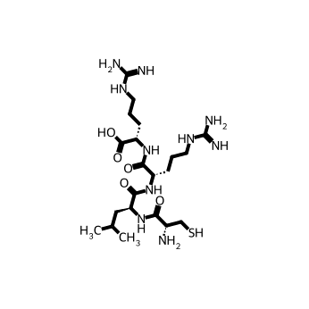 CC(C)C[C@H](NC(=O)[C@@H](N)CS)C(=O)N[C@@H](CCCNC(=N)N)C(=O)N[C@@H](CCCNC(=N)N)C(=O)O